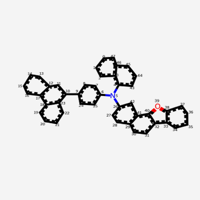 c1ccc2c(N(c3ccc(-c4cc5ccccc5c5ccccc45)cc3)c3ccc4ccc5c6ccccc6oc5c4c3)cccc2c1